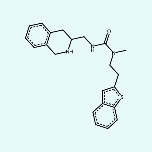 CN(CCc1cc2ccccc2s1)C(=O)NCC1Cc2ccccc2CN1